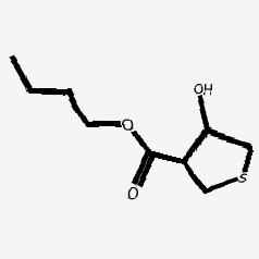 CCCCOC(=O)C1CSCC1O